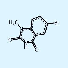 Cn1c(=O)[nH]c(=O)c2cc(Br)ccc21